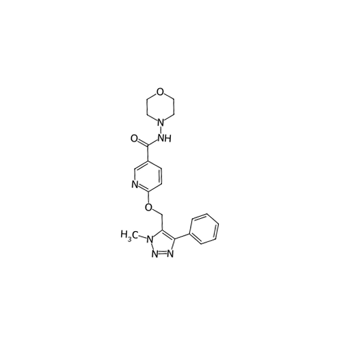 Cn1nnc(-c2ccccc2)c1COc1ccc(C(=O)NN2CCOCC2)cn1